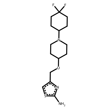 Nc1nc(COC2CCN(C3CCC(F)(F)CC3)CC2)cs1